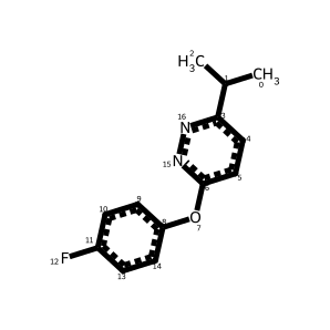 CC(C)c1ccc(Oc2ccc(F)cc2)nn1